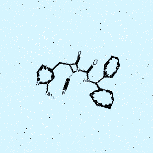 N#C[C@@H]1C(Cc2ccnc(N)c2)C(=O)N1C(=O)NC(c1ccccc1)c1ccccc1